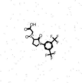 O=C(O)C[S+]([O-])C1CCN(c2cc(C(F)(F)F)cc(C(F)(F)F)c2)C1=O